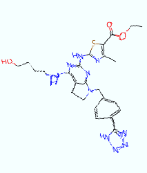 CCOC(=O)c1sc(Nc2nc(NCCCCO)c3c(n2)N(Cc2ccc(-c4nnn[nH]4)cc2)CC3)nc1C